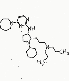 CCCN(CCC)CCC[C@@H]1[C@@H](Nc2nccc(N3CCCCCC3)n2)CCN1C1CCCCC1